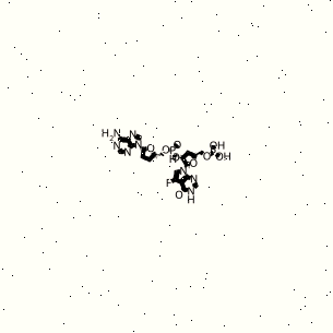 Nc1ncnc2c1ncn2[C@H]1CC[C@@H](CO[PH](=O)O[C@@H]2C[C@@H](COP(O)O)O[C@H]2n2cc(F)c3c(=O)[nH]cnc32)O1